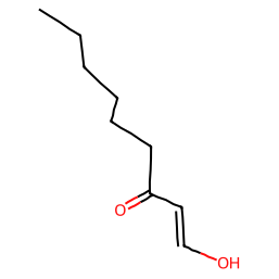 CCCCCCC(=O)C=CO